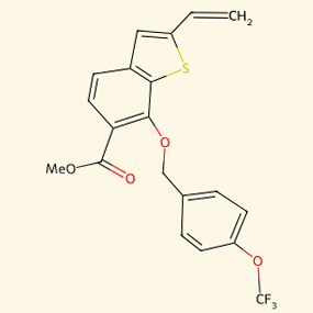 C=Cc1cc2ccc(C(=O)OC)c(OCc3ccc(OC(F)(F)F)cc3)c2s1